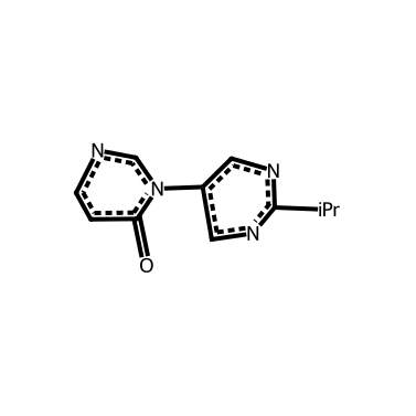 CC(C)c1ncc(-n2cnccc2=O)cn1